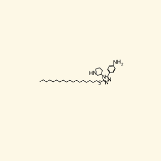 CCCCCCCCCCCCCCCCCCSc1nnc(-c2ccc(N)cc2)n1C1CCCNC1